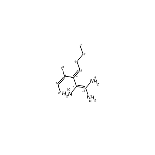 C/C=C(C)\C(=C/CCC)C(N)=C(N)N